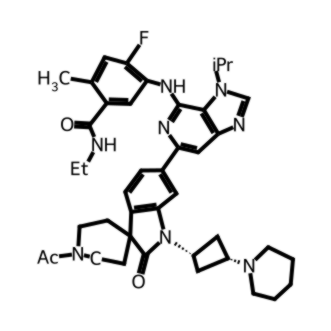 CCNC(=O)c1cc(Nc2nc(-c3ccc4c(c3)N([C@H]3C[C@@H](N5CCCCC5)C3)C(=O)C43CCN(C(C)=O)CC3)cc3ncn(C(C)C)c23)c(F)cc1C